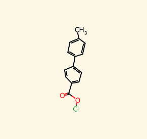 Cc1ccc(-c2ccc(C(=O)OCl)cc2)cc1